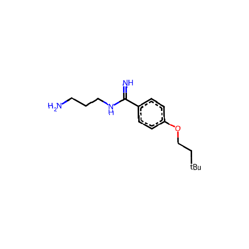 CC(C)(C)CCOc1ccc(C(=N)NCCCN)cc1